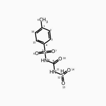 Cc1ccc(S(=O)(=O)NC(=O)N[SH](=O)=O)cc1